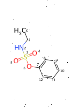 CCNS(=O)(=O)Oc1ccccc1